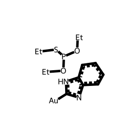 CCOP(OCC)SCC.[Au][c]1nc2ccccc2[nH]1